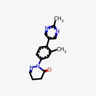 Cc1ncc(-c2ccc(N3N=CCCC3=O)cc2C)cn1